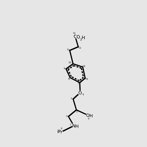 CC(C)NCC(O)COc1ccc(CCC(=O)O)cc1